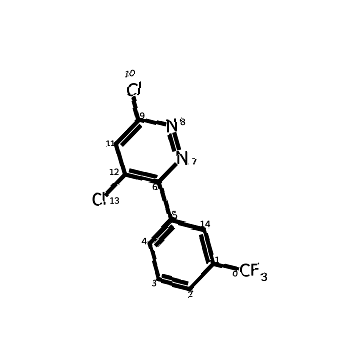 FC(F)(F)c1cccc(-c2nnc(Cl)cc2Cl)c1